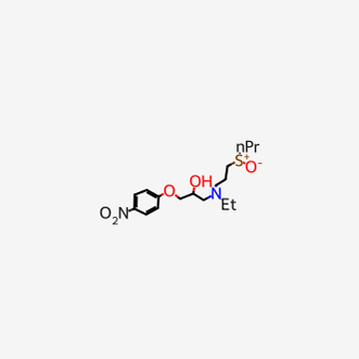 CCC[S+]([O-])CCCN(CC)CC(O)COc1ccc([N+](=O)[O-])cc1